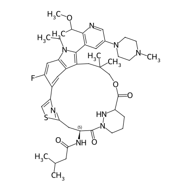 CCn1c(-c2cc(N3CCN(C)CC3)cnc2C(C)OC)c2c3cc(c(F)cc31)-c1csc(n1)C[C@H](NC(=O)CC(C)C)C(=O)N1CCCC(N1)C(=O)OCC(C)(C)C2